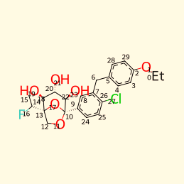 CCOc1ccc(Cc2cc([C@]34OC[C@](C(C)F)(O3)[C@@H](O)[C@H](O)[C@H]4O)ccc2Cl)cc1